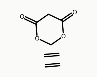 C=C.C=C.O=C1CC(=O)OCO1